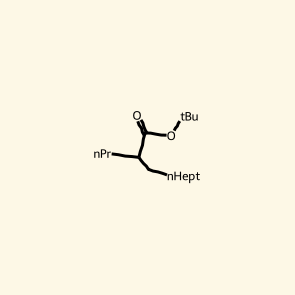 CCCCCCCCC(CCC)C(=O)OC(C)(C)C